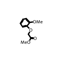 COC(=O)COc1cc[c]cc1OC